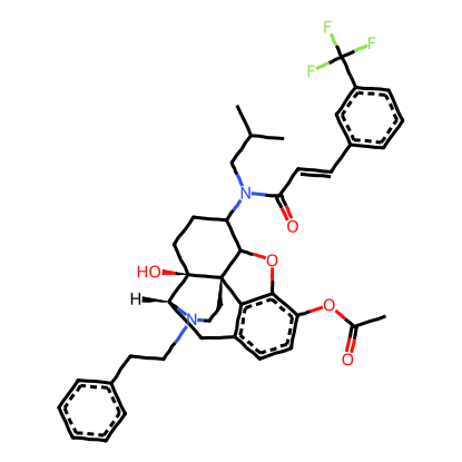 CC(=O)Oc1ccc2c3c1OC1C(N(CC(C)C)C(=O)/C=C/c4cccc(C(F)(F)F)c4)CC[C@@]4(O)[C@@H](C2)N(CCc2ccccc2)CC[C@]314